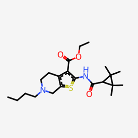 CCCCN1CCc2c(sc(NC(=O)C3C(C)(C)C3(C)C)c2C(=O)OCC)C1